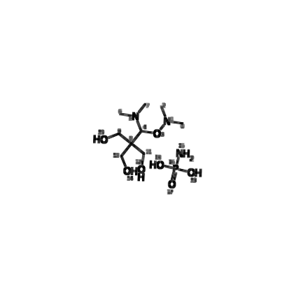 CN(C)OC(N(C)C)C(CO)(CO)CO.NP(=O)(O)O